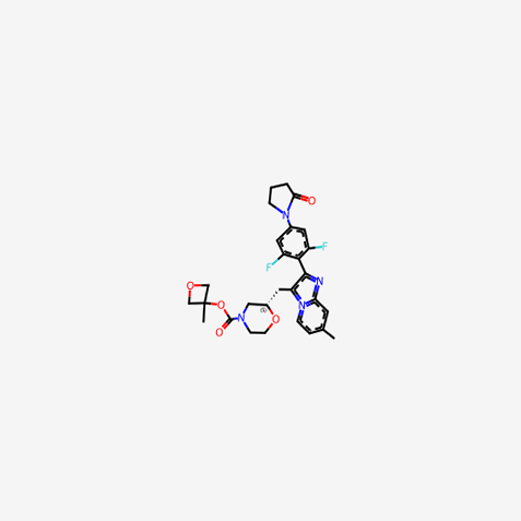 Cc1ccn2c(C[C@H]3CN(C(=O)OC4(C)COC4)CCO3)c(-c3c(F)cc(N4CCCC4=O)cc3F)nc2c1